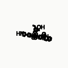 CCc1cc(C[C@@H](OC(=O)N2CCC(N3CCc4ccccc4NC3=O)CC2)C(=O)N2CCC(C3CCNCC3)CC2)cc(C)c1O